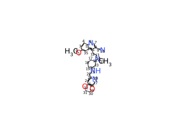 COc1ccc2ncc(C#N)c(CCN(C)C3CCCC(NCc4cc5c(cn4)OCCO5)C3)c2c1